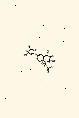 CCC(C)C(O)C(C)(O)/C=C/C1=CC2=C(Cl)C(=O)C(C)(O)C(OC(=O)S)C2(O)CO1